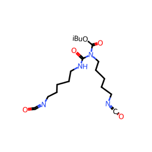 CC(C)COC(=O)N(CCCCCN=C=O)C(=O)NCCCCCN=C=O